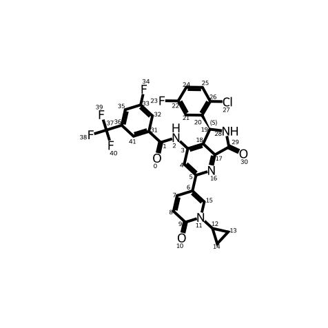 O=C(Nc1cc(-c2ccc(=O)n(C3CC3)c2)nc2c1[C@@H](c1cc(F)ccc1Cl)NC2=O)c1cc(F)cc(C(F)(F)F)c1